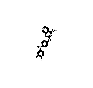 Cc1cc(N(C)c2ccc(Oc3nc(O)c4ccncc4n3)cc2)ccc1Cl